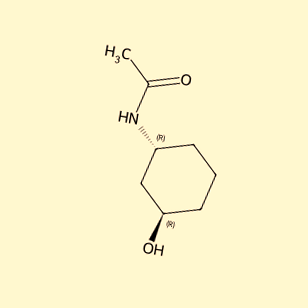 CC(=O)N[C@@H]1CCC[C@@H](O)C1